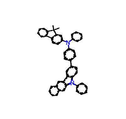 CC1(C)c2ccccc2-c2ccc(N(c3ccccc3)c3ccc(-c4ccc5c(c4)c4cc6ccccc6cc4n5-c4ccccc4)cc3)cc21